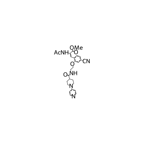 COC(=O)C(=Cc1ccc(C#N)cc1OCCNC(=O)C1CCN(c2ccncc2)CC1)NC(C)=O